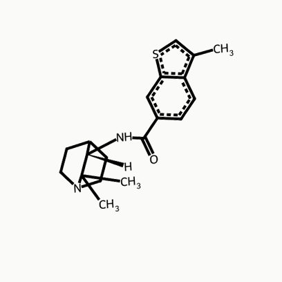 Cc1csc2cc(C(=O)N[C@H]3C4CCN(CC4)C3(C)C)ccc12